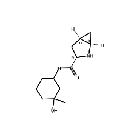 CC1(O)CCCC(NC(=O)[C@@H]2C[C@H]3C[C@H]3N2)C1